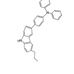 CCCc1ccc2[nH]c3ccc(-c4ccc(N(c5ccccc5)c5ccccc5)cc4)cc3c2c1